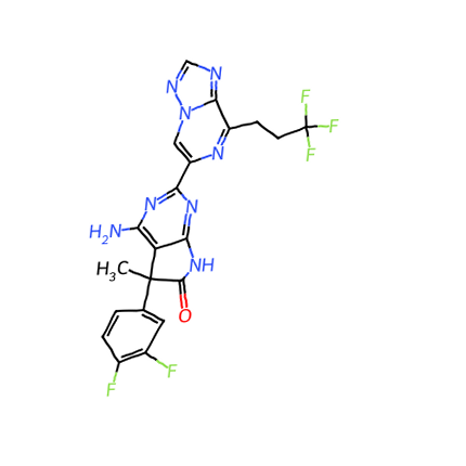 CC1(c2ccc(F)c(F)c2)C(=O)Nc2nc(-c3cn4ncnc4c(CCC(F)(F)F)n3)nc(N)c21